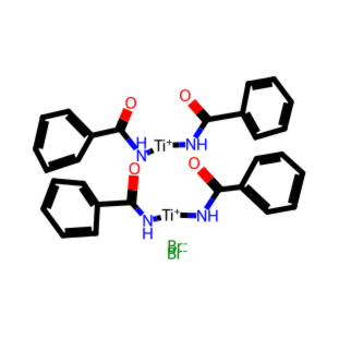 O=C([NH][Ti+][NH]C(=O)c1ccccc1)c1ccccc1.O=C([NH][Ti+][NH]C(=O)c1ccccc1)c1ccccc1.[Br-].[Br-]